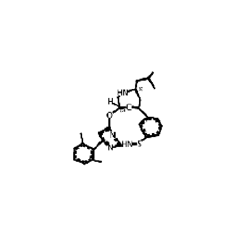 Cc1cccc(C)c1-c1cc2nc(n1)NSc1cccc(c1)C1C[C@H](CC(C)C)NC[C@H](C1)O2